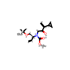 C=C[C@@H](CO[Si](C)(C)C(C)(C)C)N(CC(=O)C(=C)C1CC1)C(=O)OC(C)(C)C